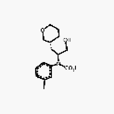 [CH2]c1cccc(N(C(=O)O)C(CO)C[C@H]2CCCOC2)c1